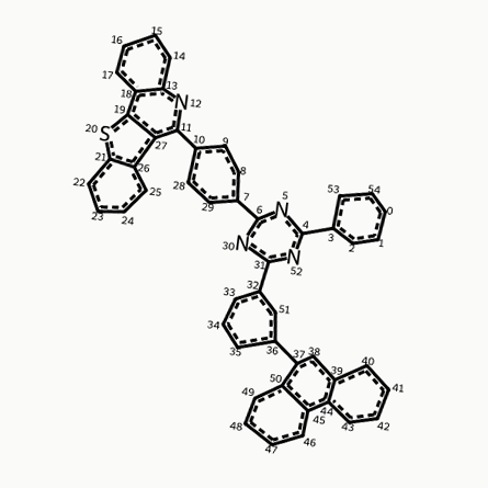 c1ccc(-c2nc(-c3ccc(-c4nc5ccccc5c5sc6ccccc6c45)cc3)nc(-c3cccc(-c4cc5ccccc5c5ccccc45)c3)n2)cc1